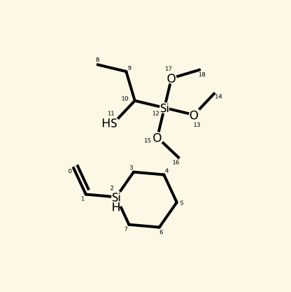 C=C[SiH]1CCCCC1.CCC(S)[Si](OC)(OC)OC